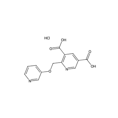 Cl.O=C(O)c1cnc(COc2cccnc2)c(C(=O)O)c1